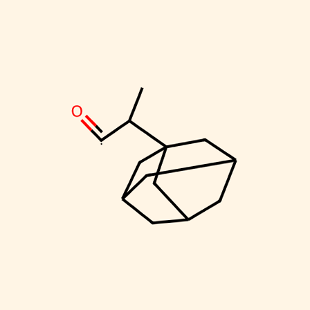 CC([C]=O)C12CC3CC(CC(C3)C1)C2